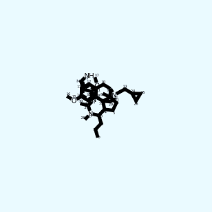 CCCC(C1CCC2(C)C3Cc4ccc(OC)cc4C12CCN3CC1CC1)N(C)C(C)/N=C(\C=C/N)OC